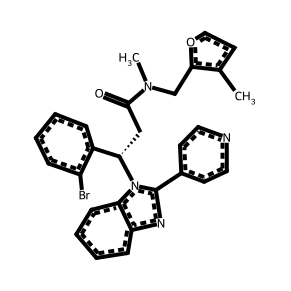 Cc1ccoc1CN(C)C(=O)C[C@@H](c1ccccc1Br)n1c(-c2ccncc2)nc2ccccc21